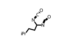 CC(C)CCC(N=C=O)N=C=O